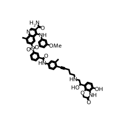 COc1cccc(Nc2c(C(N)=O)cnc3c(C)cc(S(=O)(=O)c4cccc(C(=O)Nc5ccc(C#CCCCNCC(O)c6ccc(O)c7c6OCC(=O)N7)c(C)c5)c4)cc23)c1